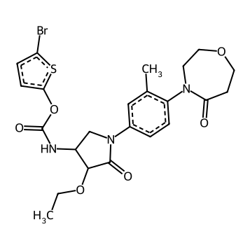 CCOC1C(=O)N(c2ccc(N3CCOCCC3=O)c(C)c2)CC1NC(=O)Oc1ccc(Br)s1